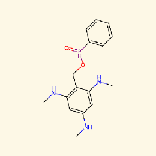 CNc1cc(NC)c(CO[PH](=O)c2ccccc2)c(NC)c1